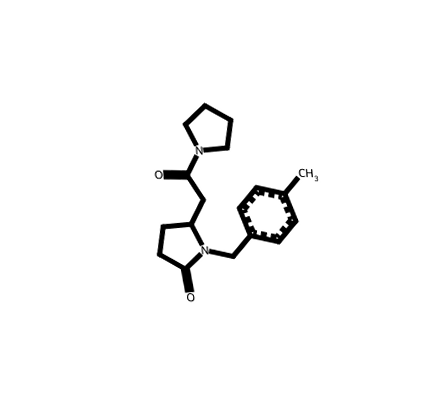 Cc1ccc(CN2C(=O)CCC2CC(=O)N2CCCC2)cc1